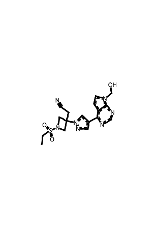 CCS(=O)(=O)N1CC(CC#N)(n2cc(-c3ncnc4c3ccn4CO)cn2)C1